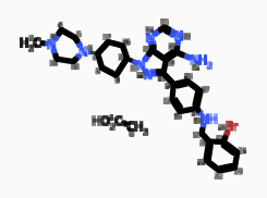 CC(=O)O.CN1CCN([C@H]2CC[C@H](n3nc(-c4ccc(NCc5ccccc5Br)cc4)c4c(N)ncnc43)CC2)CC1